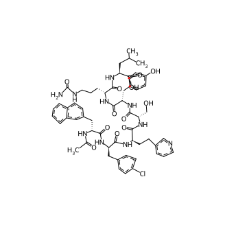 CC(=O)N[C@H](Cc1ccc2ccccc2c1)C(=O)N[C@H](Cc1ccc(Cl)cc1)C(=O)N[C@H](CCc1cccnc1)C(=O)N[C@@H](CO)C(=O)N[C@@H](Cc1ccc(O)cc1)C(=O)N[C@H](CCCNC(N)=O)C(=O)N[C@@H](CC(C)C)C(=O)O